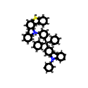 c1ccc(-n2c3ccccc3c3cc([Si](c4ccccc4)(c4ccccc4)c4cccc(-n5c6ccccc6c6ccc7sc8ccccc8c7c65)c4)ccc32)cc1